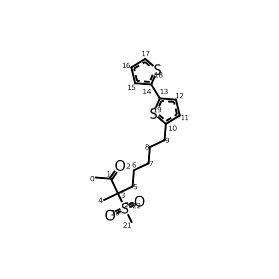 CC(=O)C(C)(CCCCCc1ccc(-c2cccs2)s1)S(C)(=O)=O